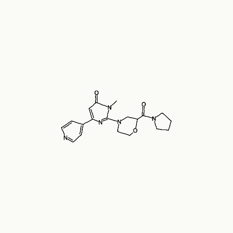 Cn1c(N2CCOC(C(=O)N3CCCC3)C2)nc(-c2ccncc2)cc1=O